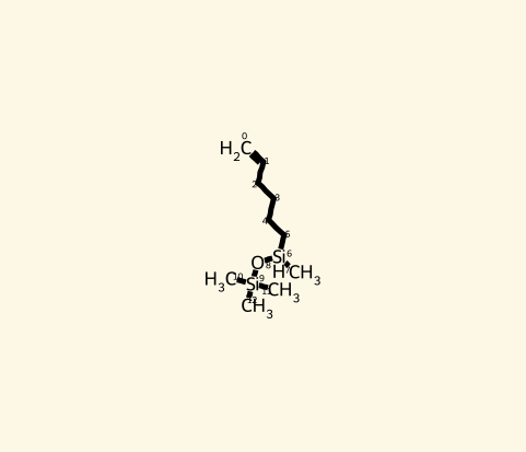 C=CCCCC[SiH](C)O[Si](C)(C)C